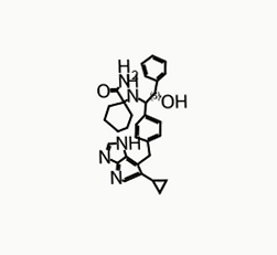 NC(=O)C1(NC(c2ccc(Cc3c(C4CC4)cnc4nc[nH]c34)cc2)[C@@H](O)c2ccccc2)CCCCC1